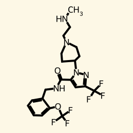 CNCCN1CCC(n2nc(C(F)(F)F)cc2C(=O)NCc2ccccc2OC(F)(F)F)CC1